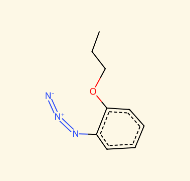 CCCOc1ccccc1N=[N+]=[N-]